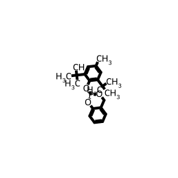 Cc1cc(C(C)(C)C)c(OP2OCc3ccccc3O2)c(C(C)(C)C)c1